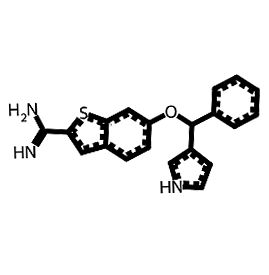 N=C(N)c1cc2ccc(OC(c3ccccc3)c3cc[nH]c3)cc2s1